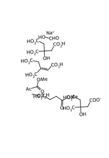 CC(=O)O.COC(=O)C(C)=O.COC(=O)CCC(=O)O.O=C(O)C=C(CC(=O)O)C(=O)O.O=C(O)CC(O)(CC(=O)O)C(=O)O.O=C([O-])CC(O)(CC(=O)O)C(=O)O.O=CO.[Na+]